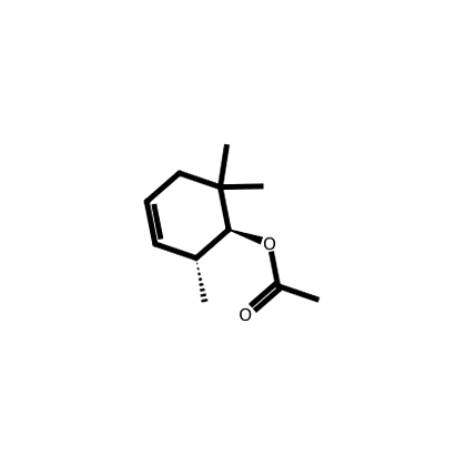 CC(=O)O[C@H]1[C@H](C)C=CCC1(C)C